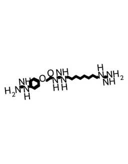 N=C(N)NCCCCCCCCNC(=N)NC(=O)COc1ccc(NC(=N)N)cc1